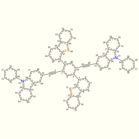 C(#Cc1cc(-c2cccc3c2sc2ccccc23)c(C#Cc2ccc3c(c2)c2ccccc2n3-c2ccccc2)cc1-c1cccc2c1sc1ccccc12)c1ccc2c(c1)c1ccccc1n2-c1ccccc1